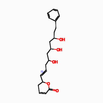 O=C1C=CCC(/C=C/CC(O)CC(O)CC(O)CCc2ccccc2)O1